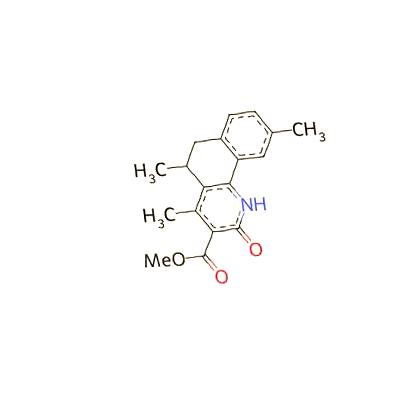 COC(=O)c1c(C)c2c([nH]c1=O)-c1cc(C)ccc1CC2C